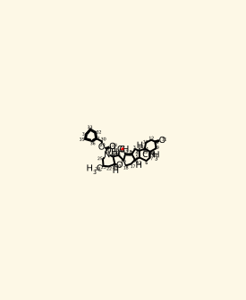 CC1=C2C[C@H]3C(CC[C@@H]4CC(=O)CC[C@@]43C)[C@@H]2CC[C@]12O[C@@H]1C[C@H](C)CN(C(=O)OCc3ccccc3)[C@H]1[C@H]2C